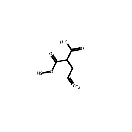 C=CCC(C(C)=O)C(=O)OS